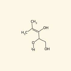 [2H]OC(CO)C(O)=C(C)C